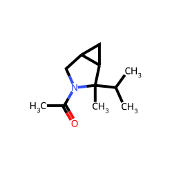 CC(=O)N1CC2CC2C1(C)C(C)C